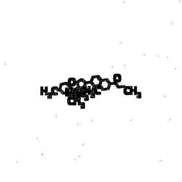 CCCC(=O)C1CCC2(C)C(=CCC3C2CC[C@@]2(C)C3CC3OC4(CCC(C)CN4C(C)=O)C(C)C32)C1